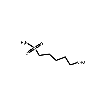 NS(=O)(=O)CCCCCC=O